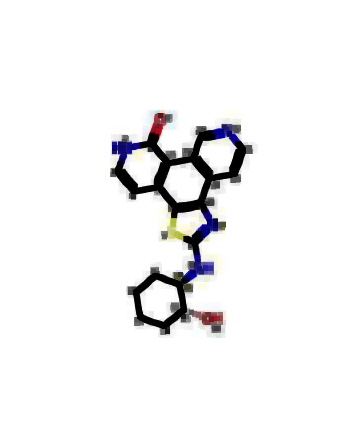 O=c1[nH]ccc2c3sc(N[C@@H]4CCCC[C@H]4O)nc3c3ccncc3c12